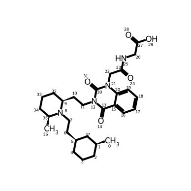 C[C@H]1CCC[C@@H](CCN2[C@H](CCn3c(=O)c4ccccc4n(CC(=O)NCC(=O)O)c3=O)CCC[C@@H]2C)C1